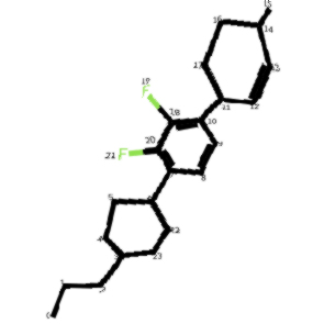 CCCC1CCC(c2ccc(C3C=CC(C)CC3)c(F)c2F)CC1